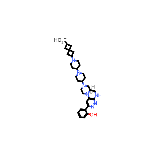 O=C(O)C1CC2(C1)CC(N1CCC(N3CCC(N4CCN5c6cc(-c7ccccc7O)nnc6NC[C@H]5C4)CC3)CC1)C2